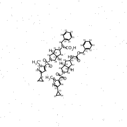 Cn1nc(C2CC2)cc1S(=O)(=O)N1C[C@H]2CC(N(Cc3ccccc3)C(=O)O)C[C@H]2C1.Cn1nc(C2CC2)cc1S(=O)(=O)N1C[C@H]2CC(NC(=O)OCc3ccccc3)C[C@H]2C1